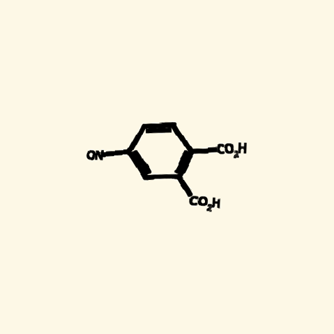 O=Nc1ccc(C(=O)O)c(C(=O)O)c1